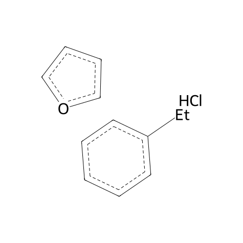 CCc1ccccc1.Cl.c1ccoc1